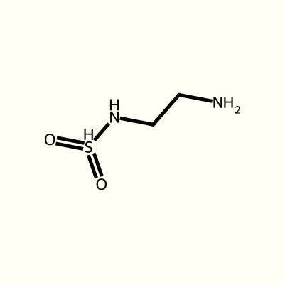 NCCN[SH](=O)=O